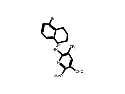 COc1nc(N[C@H]2CCCc3c(Br)cccc32)c(C(F)(F)F)cc1C=O